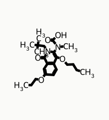 CCCCOc1c(N(C)C(=O)O)n(CC(C)(C)C)c(=O)c2cc(OCCC)ccc12